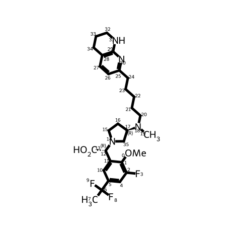 COc1c(F)cc(C(C)(F)F)cc1[C@H](C(=O)O)N1CC[C@@H](N(C)CCCCCc2ccc3c(n2)NCCC3)C1